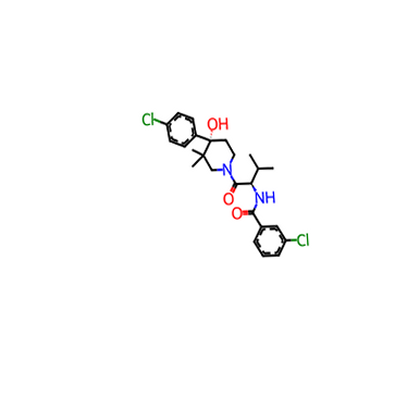 CC(C)[C@@H](NC(=O)c1cccc(Cl)c1)C(=O)N1CC[C@](O)(c2ccc(Cl)cc2)C(C)(C)C1